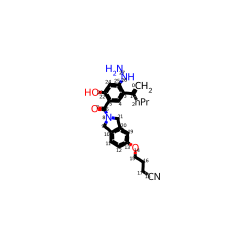 C=C(CCC)c1cc(C(=O)N2Cc3ccc(OCCCC#N)cc3C2)c(O)cc1NN